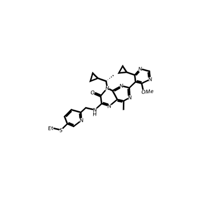 CCSc1ccc(CNc2nc3c(C)nc(-c4c(OC)ncnc4C4CC4)nc3n([C@@H](C)C3CC3)c2=O)nc1